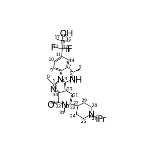 Cc1nc(N[C@H](C)c2cccc(C(F)(F)C(C)(C)O)c2)c2cc(C3CCN(C(C)C)CC3)n(C)c(=O)c2n1